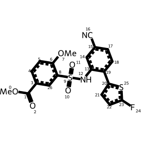 COC(=O)c1ccc(OC)c(S(=O)(=O)Nc2cc(C#N)ccc2-c2ccc(F)s2)c1